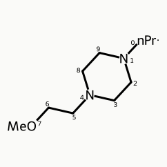 CC[CH]N1CCN(CCOC)CC1